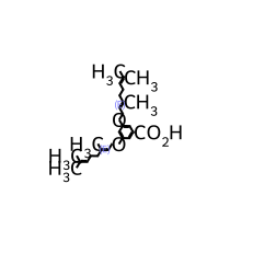 CC(C)=CCC/C(C)=C/COc1cc(OC/C=C(\C)CCC=C(C)C)cc(C(=O)O)c1